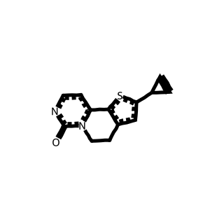 O=c1nccc2n1CCc1cc(C3C#C3)sc1-2